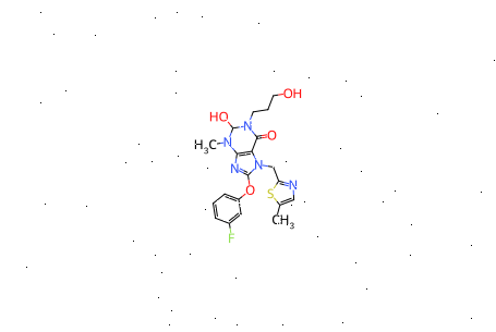 Cc1cnc(Cn2c(Oc3cccc(F)c3)nc3c2C(=O)N(CCCO)C(O)N3C)s1